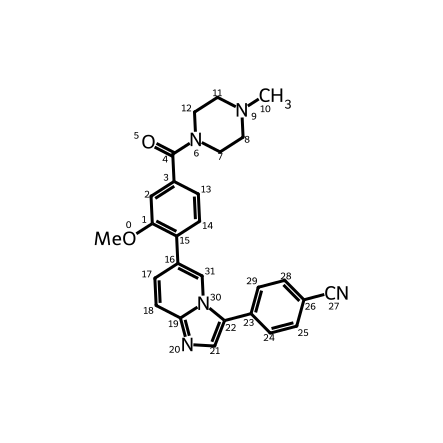 COc1cc(C(=O)N2CCN(C)CC2)ccc1-c1ccc2ncc(-c3ccc(C#N)cc3)n2c1